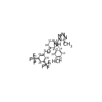 Cc1nnnn1C1CC2(c3ccccc3)NC1CCC2OCc1cc(C(F)(F)F)cc(C(F)(F)F)c1.Cl